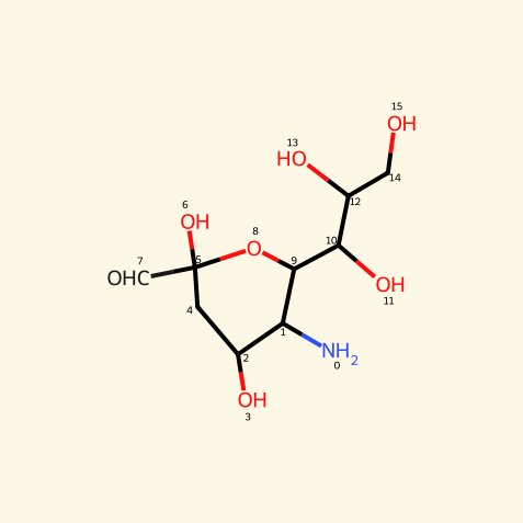 NC1C(O)CC(O)(C=O)OC1C(O)C(O)CO